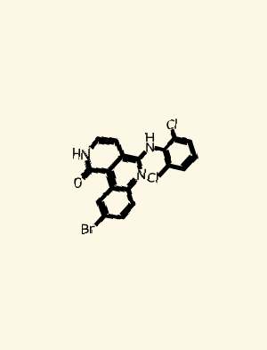 O=c1[nH]ccc2c(Nc3c(Cl)cccc3Cl)nc3ccc(Br)cc3c12